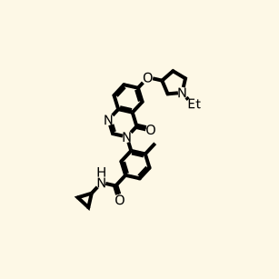 CCN1CCC(Oc2ccc3ncn(-c4cc(C(=O)NC5CC5)ccc4C)c(=O)c3c2)C1